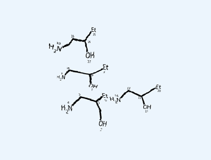 CCC(O)CN.CCC(O)CN.CCC(O)CN.CCC(O)CN